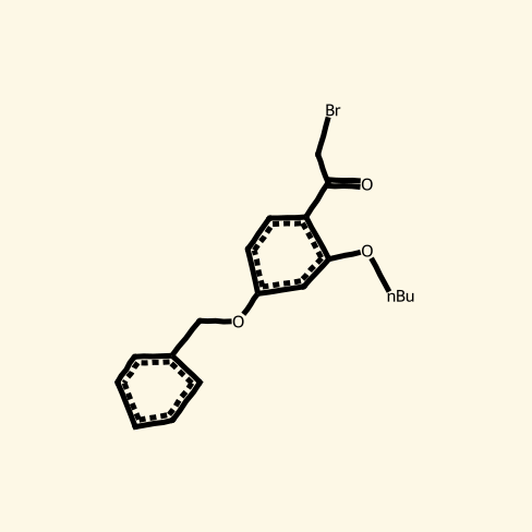 CCCCOc1cc(OCc2ccccc2)ccc1C(=O)CBr